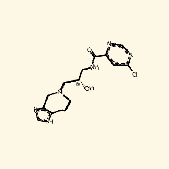 O=C(NC[C@H](O)CN1CCc2[nH]cnc2C1)c1cc(Cl)ncn1